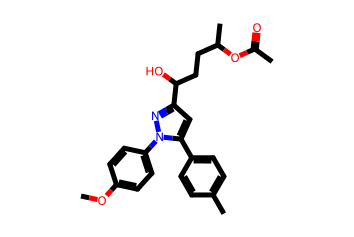 COc1ccc(-n2nc(C(O)CCC(C)OC(C)=O)cc2-c2ccc(C)cc2)cc1